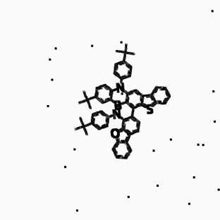 CC(C)(C)c1ccc(N2B3c4cc(C(C)(C)C)ccc4N(c4ccc(C(C)(C)C)cc4)c4cc5c(sc6ccccc65)c(c43)-c3ccc4c(oc5ccccc54)c32)cc1